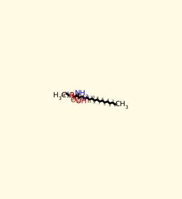 CCCCCCCCCCCCC/C=C/[C@@H](O)[C@@H](N)C(=O)OCCC